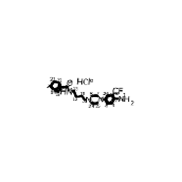 Cl.Nc1ccc(N2CCN(CCCCNC(=O)C3CC4CCC3C4)CC2)cc1C(F)(F)F